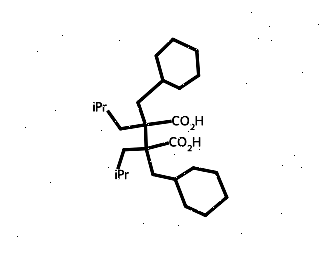 CC(C)CC(CC1CCCCC1)(C(=O)O)C(CC(C)C)(CC1CCCCC1)C(=O)O